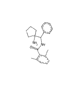 Cc1cccc(C)c1C(=O)NC(c1ccccc1)C1(N)CCCC1